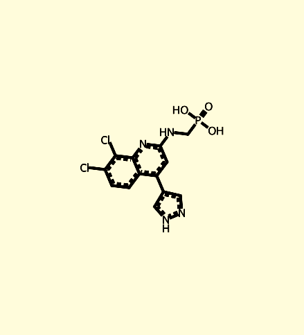 O=P(O)(O)CNc1cc(-c2cn[nH]c2)c2ccc(Cl)c(Cl)c2n1